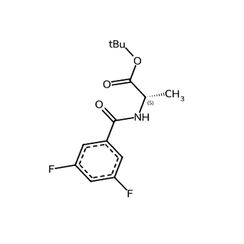 C[C@H](NC(=O)c1cc(F)cc(F)c1)C(=O)OC(C)(C)C